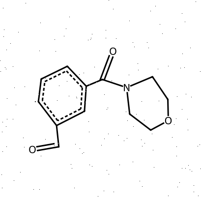 O=Cc1[c]ccc(C(=O)N2CCOCC2)c1